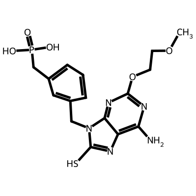 COCCOc1nc(N)c2nc(S)n(Cc3cccc(CP(=O)(O)O)c3)c2n1